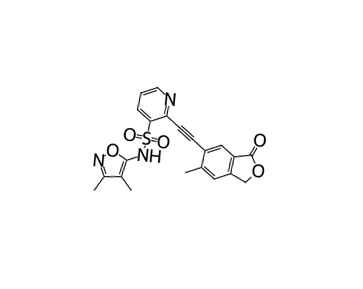 Cc1cc2c(cc1C#Cc1ncccc1S(=O)(=O)Nc1onc(C)c1C)C(=O)OC2